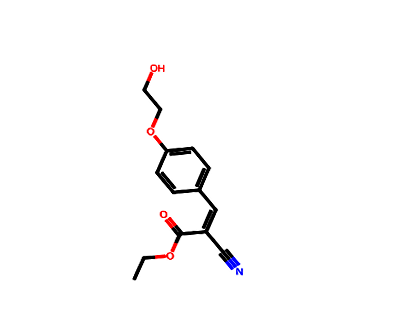 CCOC(=O)C(C#N)=Cc1ccc(OCCO)cc1